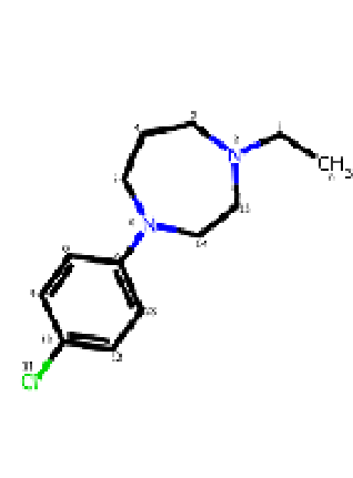 CCN1CCCN(c2ccc(Cl)cc2)CC1